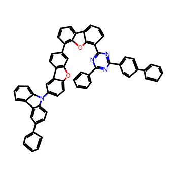 c1ccc(-c2ccc(-c3nc(-c4ccccc4)nc(-c4cccc5c4oc4c(-c6ccc7c(c6)oc6ccc(-n8c9ccccc9c9cc(-c%10ccccc%10)ccc98)cc67)cccc45)n3)cc2)cc1